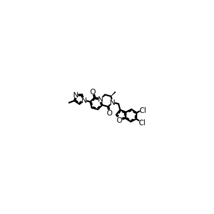 Cc1cn(-c2ccc3n(c2=O)C[C@@H](C)N(Cc2coc4cc(Cl)c(Cl)cc24)C3=O)cn1